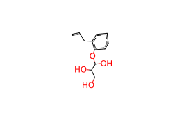 C=CCc1ccccc1OC(O)C(O)CO